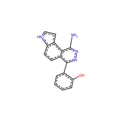 Nc1nnc(-c2ccccc2O)c2ccc3[nH]ccc3c12